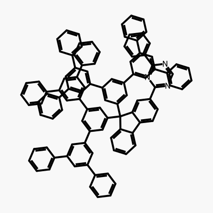 c1ccc(-c2cc(-c3ccccc3)cc(-c3cc(-c4cc(-c5ccccc5)cc(-c5ccccc5)c4)cc(C4(c5cc(-c6cc(-c7ccccc7)cc(-c7ccccc7)c6)cc(-c6cc(-c7ccccc7)cc(-c7ccccc7)c6)c5)c5ccccc5-c5ccc(-c6ncnc(-c7ccccc7)n6)cc54)c3)c2)cc1